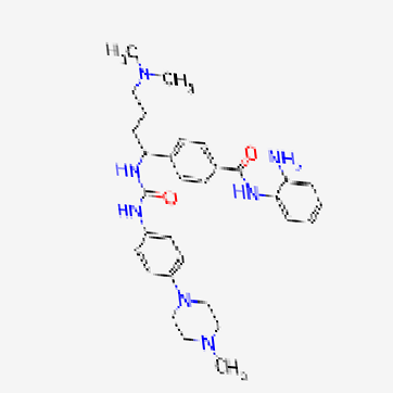 CN(C)CCCC(NC(=O)Nc1ccc(N2CCN(C)CC2)cc1)c1ccc(C(=O)Nc2ccccc2N)cc1